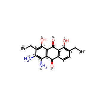 CC(C)Cc1ccc2c(c1O)C(=O)c1c(O)c(CC(C)C)c(N)c(N)c1C2=O